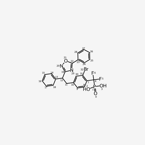 O=P(O)(O)C(F)(F)c1ccc(CC(c2ccccc2)c2noc(-c3ccccc3)n2)cc1Br